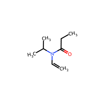 C=CN(C(=O)CC)C(C)C